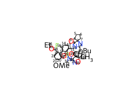 CCCCC1=NC2(CCCC2)C(=O)N1Cc1ccc(F)c(-c2ccccc2COCC)c1S(=O)(=O)N(COC)c1noc(C)c1C